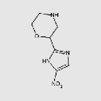 O=[N+]([O-])c1cnc(C2CNCCO2)[nH]1